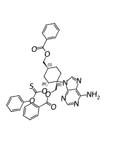 Nc1ncnc2c1ncn2[C@@]1(COC(=O)c2ccccc2)CC[C@H](COC(=O)c2ccccc2)C[C@H]1OC(=S)Oc1ccccc1